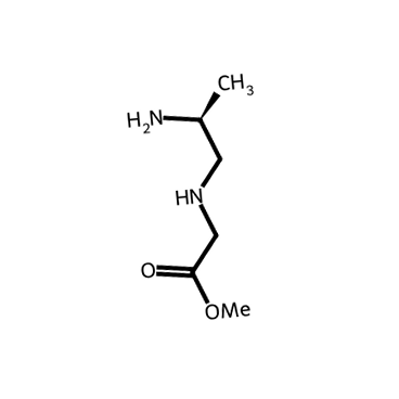 COC(=O)CNC[C@H](C)N